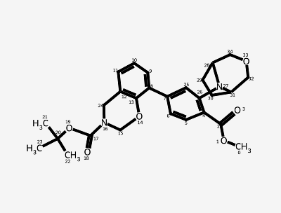 COC(=O)c1ccc(-c2cccc3c2OCN(C(=O)OC(C)(C)C)C3)cc1N1C2CCC1COC2